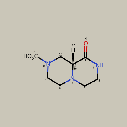 O=C1NCCN2CCN(C(=O)O)C[C@H]12